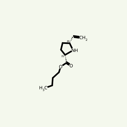 C=C[C@H]1CC[C@@H](C(=O)OCCCC)N1